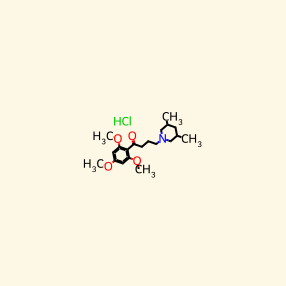 COc1cc(OC)c(C(=O)CCCN2CC(C)CC(C)C2)c(OC)c1.Cl